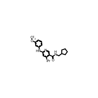 CC(C)c1cc(Nc2cccc(OC(F)(F)F)c2)ncc1C(=O)NCC1CCCC1